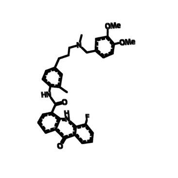 COc1ccc(CN(C)CCCc2ccc(NC(=O)c3cccc4c(=O)c5cccc(F)c5[nH]c34)c(C)c2)cc1OC